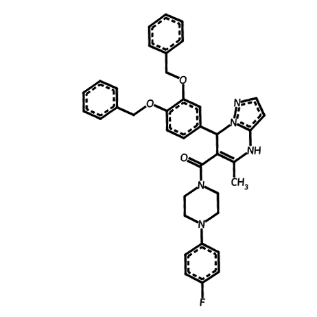 CC1=C(C(=O)N2CCN(c3ccc(F)cc3)CC2)C(c2ccc(OCc3ccccc3)c(OCc3ccccc3)c2)n2nccc2N1